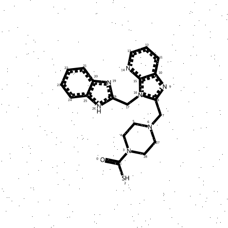 O=C(S)N1CCN(Cc2nc3cccnc3n2Cc2nc3ccccc3[nH]2)CC1